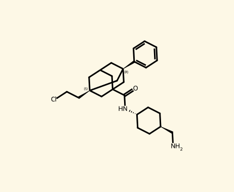 NC[C@H]1CC[C@H](NC(=O)C23CC4C[C@@](CCCl)(C2)C[C@](c2ccccc2)(C4)C3)CC1